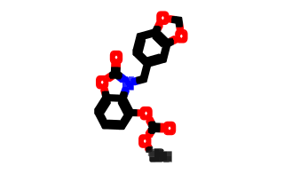 CC(C)(C)OC(=O)Oc1cccc2oc(=O)n(Cc3ccc4c(c3)OCO4)c12